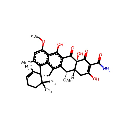 CCCCOc1cc(OC)c2c3c(c4c(c(O)c13)C(=O)[C@]1(O)C(=O)C(C(N)=O)=C(O)C[C@@H]1[C@@H]4OC)C[C@]21C(C)=CCCC1(C)C